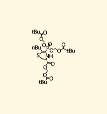 CCCCC1=C(P(=O)(OCOC(=O)C(C)(C)C)OCOC(=O)C(C)(C)C)N[C@H](C(=O)OCOC(=O)C(C)(C)C)CS1